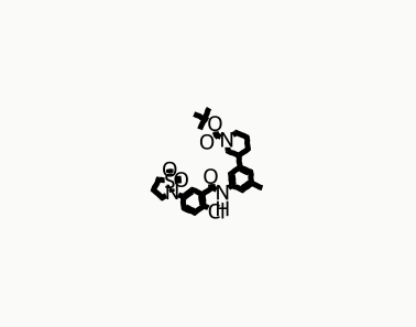 Cc1cc(NC(=O)c2cc(N3CCCS3(=O)=O)ccc2Cl)cc(C2CCCN(C(=O)OC(C)(C)C)C2)c1